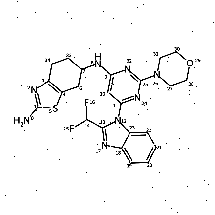 Nc1nc2c(s1)CC(Nc1cc(-n3c(C(F)F)nc4ccccc43)nc(N3CCOCC3)n1)CC2